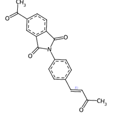 CC(=O)/C=C/c1ccc(N2C(=O)c3ccc(C(C)=O)cc3C2=O)cc1